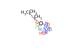 CC(C)=CCC/C(C)=C/COc1ccc(-c2noc([C@@H]3CCCN3/C(N)=N/O)n2)cc1C(F)(F)F